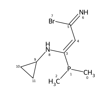 CP(C)/C(=C/C(=N)Br)NC1CC1